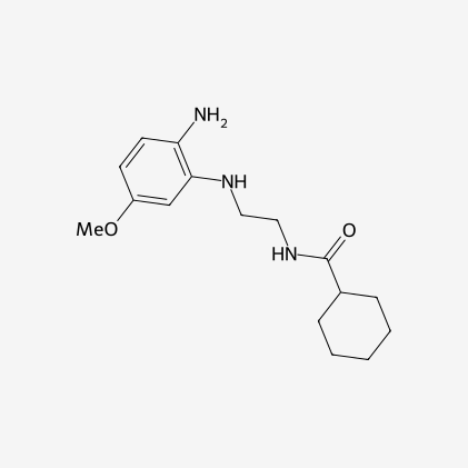 COc1ccc(N)c(NCCNC(=O)C2CCCCC2)c1